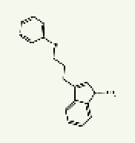 Cn1cc(CCCNc2cccnc2)c2ccccc21